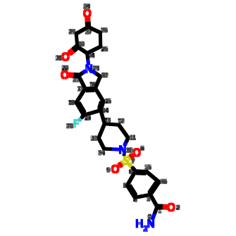 NC(=O)c1ccc(S(=O)(=O)N2CCC(c3cc4c(cc3F)C(=O)N(C3CCC(=O)CC3=O)C4)CC2)cc1